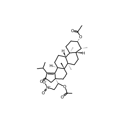 CC(=O)OC(C[N+](=O)[O-])[C@@]12CC[C@]3(C)[C@H](CC[C@@H]4[C@@]5(C)CC[C@H](OC(C)=O)[C@H](C)[C@@H]5CC[C@]43C)C1=C(C(C)C)C(=O)C2